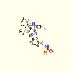 Cn1nc(-c2ccccc2)c2c(C(F)(F)F)cc(-c3cccc(CCN[SH](=O)=O)c3)nc21